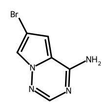 Nc1ncnn2cc(Br)cc12